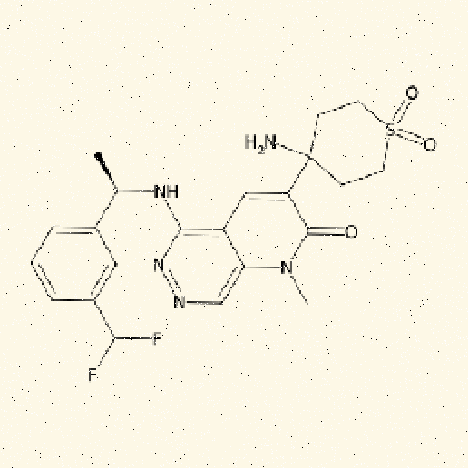 C[C@@H](Nc1nncc2c1cc(C1(N)CCS(=O)(=O)CC1)c(=O)n2C)c1cccc(C(F)F)c1